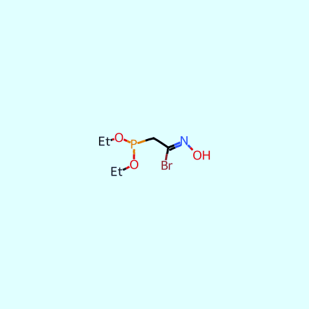 CCOP(C/C(Br)=N/O)OCC